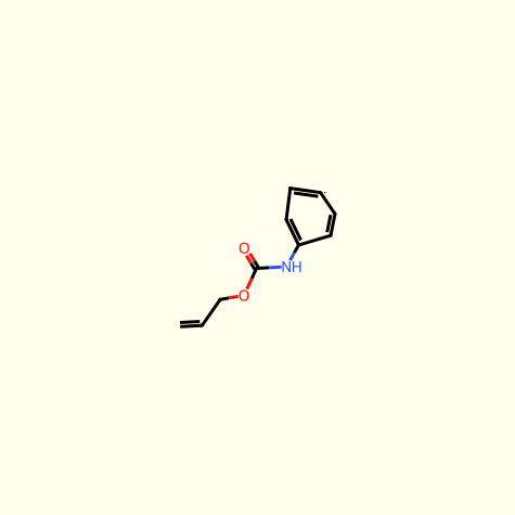 C=CCOC(=O)Nc1cc[c]cc1